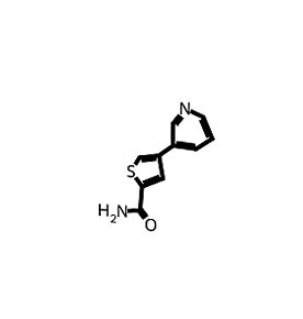 NC(=O)c1cc(-c2cccnc2)cs1